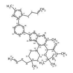 C=CCCc1cc(C)nn1-c1cccc(-c2cc3nc(C)c(C(OC(C)(C)C)C(=O)OC)c(N4CCC(C)(CCC=C)CC4)n3n2)c1